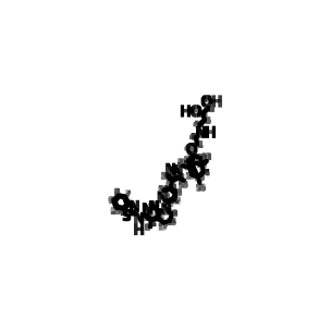 Cc1c(Nc2nc3ccccc3s2)nnc2c1CCCN2c1ccc(-c2cnn(CC34CC5(C)CC(C)(C3)CC(OCCNCC[C@H](O)CO)(C5)C4)c2C)cn1